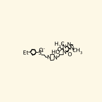 CCc1ccc([S+]([O-])CCCN2CCN(CC(O)Cn3c(=O)c4c(ncn4C)n(C)c3=O)CC2)cc1